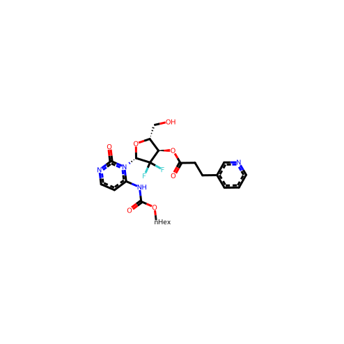 CCCCCCOC(=O)Nc1ccnc(=O)n1[C@@H]1O[C@H](CO)[C@@H](OC(=O)CCc2cccnc2)C1(F)F